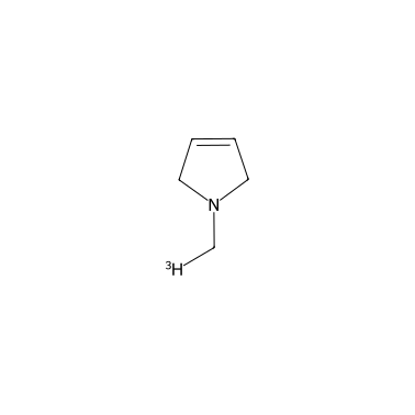 [3H]CN1CC=CC1